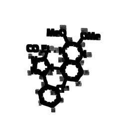 CCOC(=O)c1nnc(-c2ccccc2)n1-c1c(Cl)ccc2nc(OC)c(OC)nc12